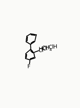 C.Cl.Cl.Fc1ccc(-c2ccccc2)c(Cl)c1